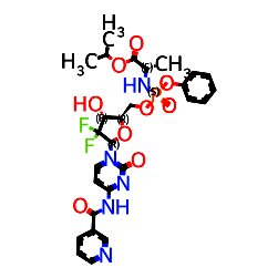 CC(C)OC(=O)[C@H](C)N[P@](=O)(OC[C@H]1O[C@@H](n2ccc(NC(=O)c3cccnc3)nc2=O)C(F)(F)[C@@H]1O)Oc1ccccc1